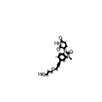 Cn1c(=O)n(C2CCC(=O)NC2=O)c2ccc(C#CCOCCCO)cc21